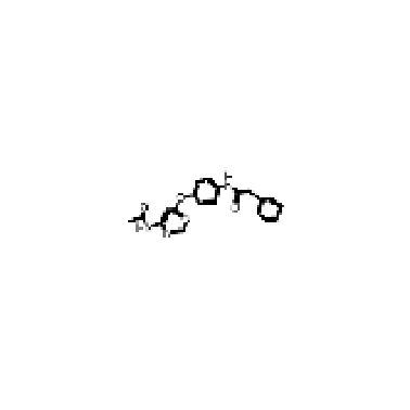 CC(=O)Nc1cc(Oc2ccc(NC(=O)Cc3ccccc3)cc2)ncn1